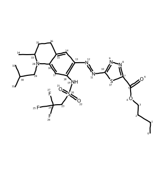 CCCCOC(=O)c1nnc(N=Nc2cc3c(cc2NS(=O)(=O)CC(F)(F)F)N(CC(C)C)C(C)CC3)s1